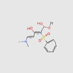 CCOC(O)/C(=C(O)/C=C/N(C)C)S(=O)(=O)c1ccccc1